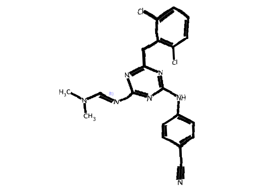 CN(C)/C=N/c1nc(Cc2c(Cl)cccc2Cl)nc(Nc2ccc(C#N)cc2)n1